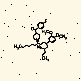 CCCCCCC(CCC(CC(C#N)CCC)c1ccc(OC)c(OC)c1)N1CCC(C(=O)c2ccc(F)cc2)CC1